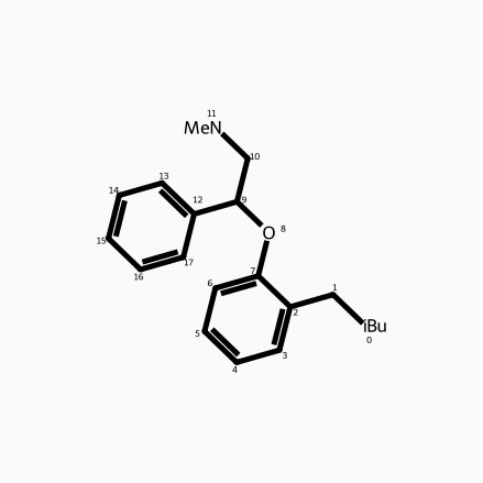 CCC(C)Cc1ccccc1OC(CNC)c1ccccc1